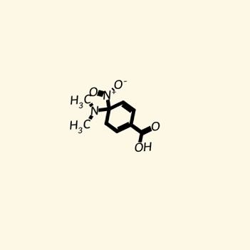 CN(C)C1([N+](=O)[O-])C=CC(C(=O)O)=CC1